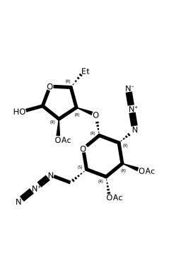 CC[C@H]1OC(O)[C@H](OC(C)=O)[C@@H]1O[C@H]1O[C@@H](CN=[N+]=[N-])[C@@H](OC(C)=O)[C@H](OC(C)=O)[C@H]1N=[N+]=[N-]